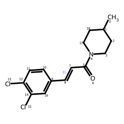 CC1CCN(C(=O)/C=C/c2ccc(Cl)c(Cl)c2)CC1